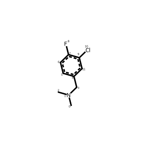 CN(C)Cc1ccc(F)c(Cl)c1